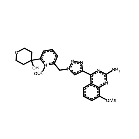 COc1cccc2c(-c3cn(Cc4cccc(C5(O)CCOCC5)[n+]4C(=O)[O-])nn3)nc(N)nc12